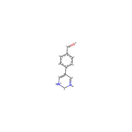 O=Cc1ccc(C2=CNCN=C2)cc1